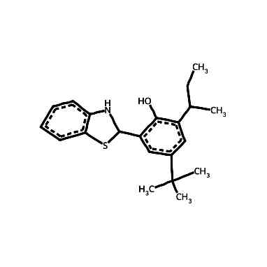 CCC(C)c1cc(C(C)(C)C)cc(C2Nc3ccccc3S2)c1O